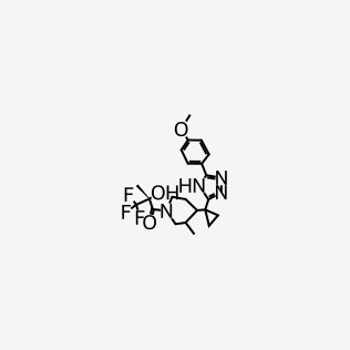 COc1ccc(-c2nnc(C3(C4CCN(C(=O)[C@@](C)(O)C(F)(F)F)CC4C)CC3)[nH]2)cc1